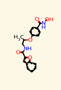 CC(CNC(=O)c1cc2ccccc2o1)Oc1ccc(C(=O)NO)cc1